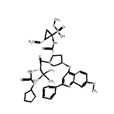 C=C[C@@H]1C[C@]1(NC(=O)[C@@H]1C[C@@H](Oc2cc(-c3ccccc3)nc3cc(OC)ccc23)CN1C(=O)[C@@H](NC(=O)OC1CCCC1)C(C)(C)C)P(=O)(O)OC